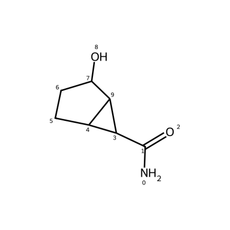 NC(=O)C1C2CCC(O)C21